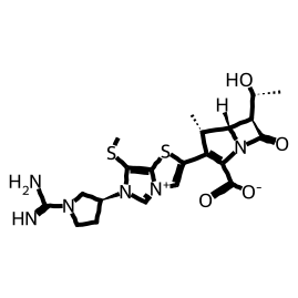 CSc1c2sc(C3=C(C(=O)[O-])N4C(=O)[C@H]([C@@H](C)O)[C@H]4[C@H]3C)c[n+]2cn1[C@H]1CCN(C(=N)N)C1